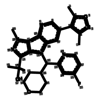 Cc1noc(C)c1-c1cnc2c3c(c(C(C)(C)O)nn3C)n(C(c3cc(F)ccn3)C3CCOCC3)c2c1